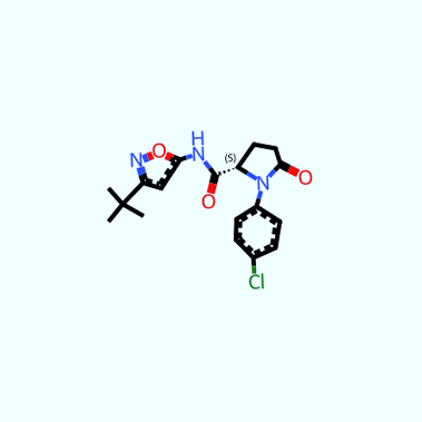 CC(C)(C)c1cc(NC(=O)[C@@H]2CCC(=O)N2c2ccc(Cl)cc2)on1